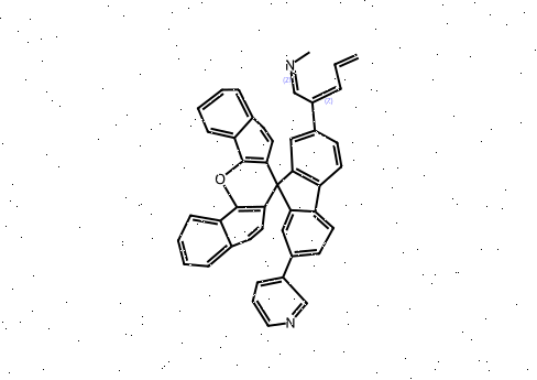 C=C/C=C(\C=N/C)c1ccc2c(c1)C1(c3cc(-c4cccnc4)ccc3-2)c2ccc3ccccc3c2Oc2c1ccc1ccccc21